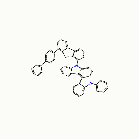 c1ccc(-c2ccc(-c3cccc4c3Cc3c-4cccc3-n3c4ccccc4c4c5c6ccccc6n(-c6ccccc6)c5ccc43)cc2)cc1